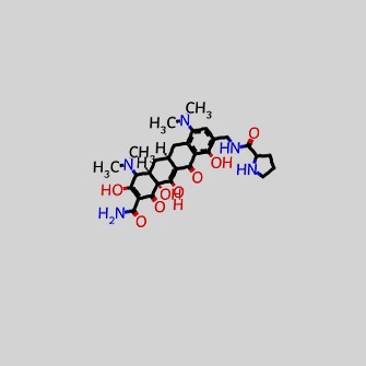 CN(C)c1cc(CNC(=O)C2CCCN2)c(O)c2c1C[C@@H]1C[C@@H]3C(N(C)C)C(O)=C(C(N)=O)C(=O)[C@@]3(O)C(O)=C1C2=O